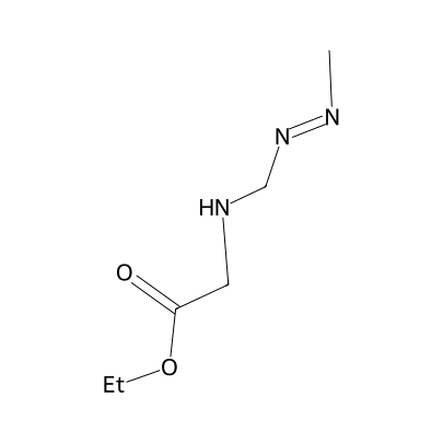 CCOC(=O)CNC/N=N/C